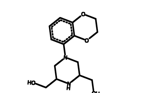 OCC1CN(c2cccc3c2OCCO3)CC(CO)N1